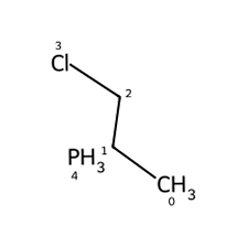 CCCCl.P